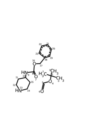 CC(C)(C)OC=O.O=C(NC1CCNCC1)OCc1ccccc1